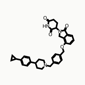 O=C1CCC(N2Cc3c(OCc4ccc(CN5CCC(c6ccc(C7CC7)cc6)CC5)cc4)cccc3C2=O)C(=O)N1